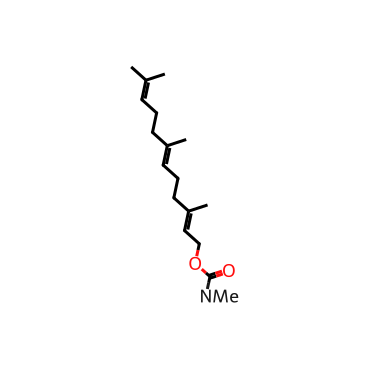 CNC(=O)OC/C=C(\C)CC/C=C(\C)CCC=C(C)C